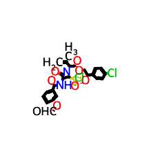 C=C(C)C(C(=O)OCC(=O)c1ccc(Cl)cc1)N1C(=O)C(NC(=O)c2cccc(OC=O)c2)C1[S+]([O-])Cl